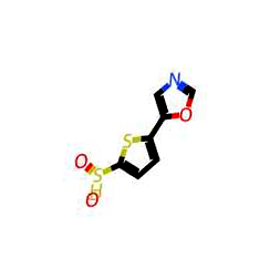 O=[SH](=O)c1ccc(-c2cnco2)s1